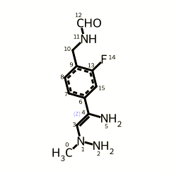 CN(N)/C=C(\N)c1ccc(CNC=O)c(F)c1